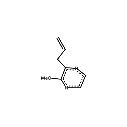 C=CCc1nccnc1OC